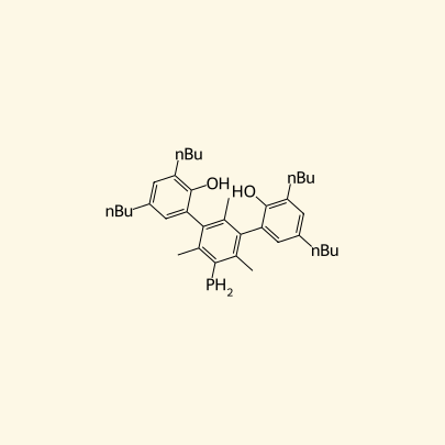 CCCCc1cc(CCCC)c(O)c(-c2c(C)c(P)c(C)c(-c3cc(CCCC)cc(CCCC)c3O)c2C)c1